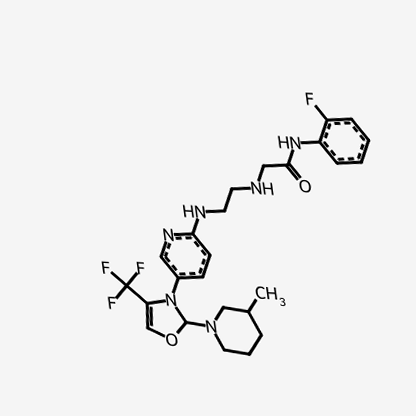 CC1CCCN(C2OC=C(C(F)(F)F)N2c2ccc(NCCNCC(=O)Nc3ccccc3F)nc2)C1